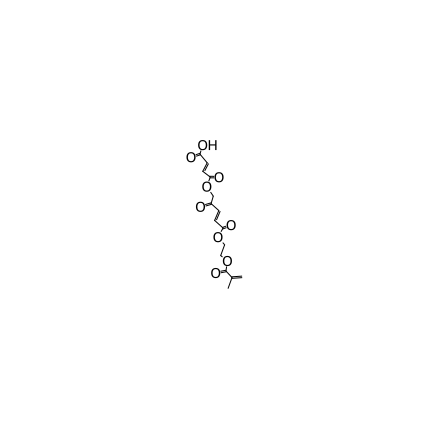 C=C(C)C(=O)OCCOC(=O)/C=C/C(=O)COC(=O)/C=C/C(=O)O